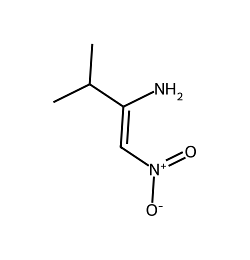 CC(C)C(N)=C[N+](=O)[O-]